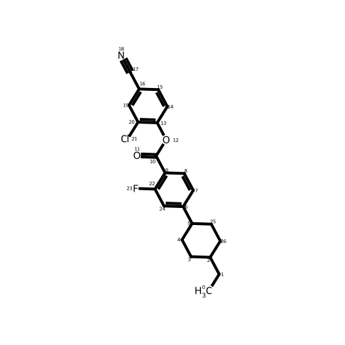 CCC1CCC(c2ccc(C(=O)Oc3ccc(C#N)cc3Cl)c(F)c2)CC1